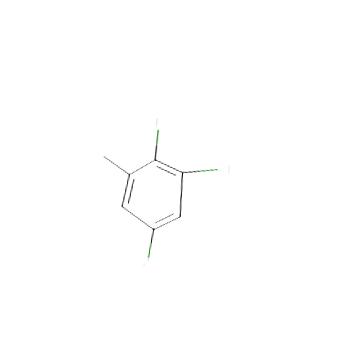 Fc1c(Cl)[c]c(Cl)cc1C(F)(F)F